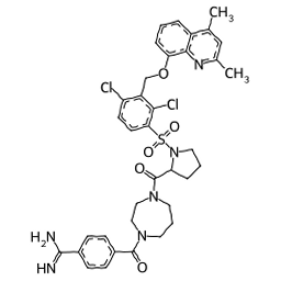 Cc1cc(C)c2cccc(OCc3c(Cl)ccc(S(=O)(=O)N4CCCC4C(=O)N4CCCN(C(=O)c5ccc(C(=N)N)cc5)CC4)c3Cl)c2n1